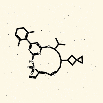 C=C/C1=C\C=C/CC(C2CC3(CC3)C2)CC(C(C)C)Oc2cc(C3=C(C)CCC=C3C)nc(n2)NS1(=O)=O